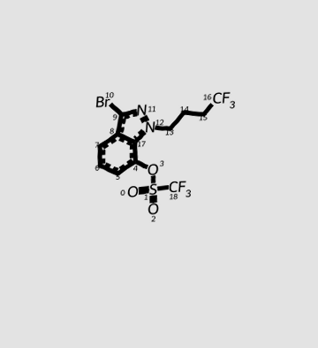 O=S(=O)(Oc1cccc2c(Br)nn(CCCC(F)(F)F)c12)C(F)(F)F